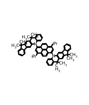 CC(C)c1cc(N2c3ccccc3C(C)(C)c3cc4c(cc32)-c2ccccc2C4(C)C)c2ccc3c(C(C)C)cc(N4c5ccccc5C(C)(C)c5cc6c(cc54)-c4ccccc4C6(C)C)c4ccc1c2c34